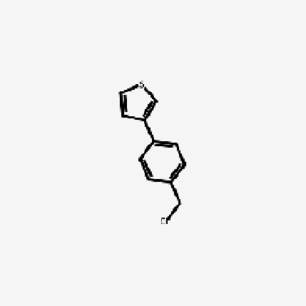 ClCc1ccc(-c2ccsc2)cc1